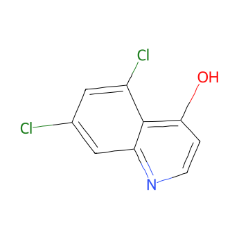 Oc1ccnc2cc(Cl)cc(Cl)c12